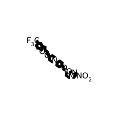 O=[N+]([O-])c1cn2c(n1)O[C@@H](COc1ccc(N3CCC(OCc4cc5cc(C(F)(F)F)ccc5o4)CC3)cc1)CC2